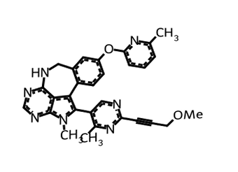 COCC#Cc1ncc(-c2c3c4c(ncnc4n2C)NCc2cc(Oc4cccc(C)n4)ccc2-3)c(C)n1